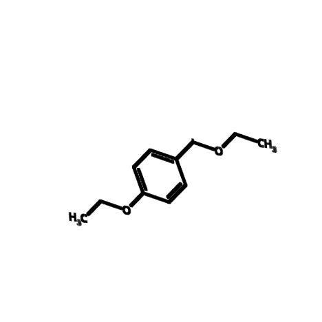 CCO[CH]c1ccc(OCC)cc1